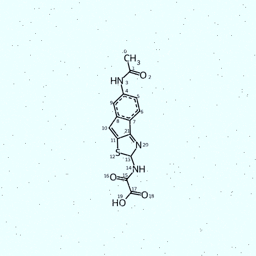 CC(=O)Nc1ccc2c(c1)C=C1SC(NC(=O)C(=O)O)N=C12